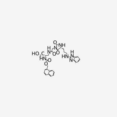 O=C(CN1C(=O)N[C@@H](CCCNc2nc3ccccc3[nH]2)C1=O)NC[C@H](NC(=O)OCc1cccc2ccccc12)C(=O)O